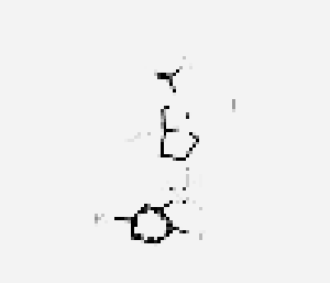 CCNC(=O)OC[C@]1(C(C)(C)C)C[C@@H](NS(=O)(=O)c2cc(Br)ccc2Br)CN1C(=O)O